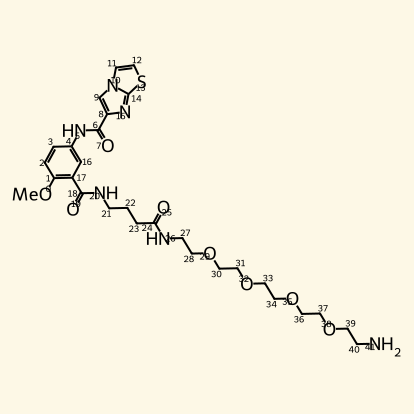 COc1ccc(NC(=O)c2cn3ccsc3n2)cc1C(=O)NCCCC(=O)NCCOCCOCCOCCOCCN